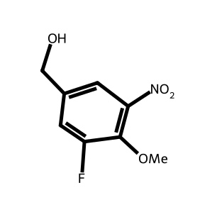 COc1c(F)cc(CO)cc1[N+](=O)[O-]